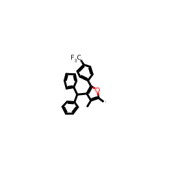 [CH2]c1oc(-c2ccc(C(F)(F)F)cc2)c(C(c2ccccc2)c2ccccc2)c1C